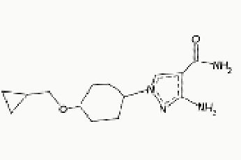 NC(=O)c1cn(C2CCC(OCC3CC3)CC2)nc1N